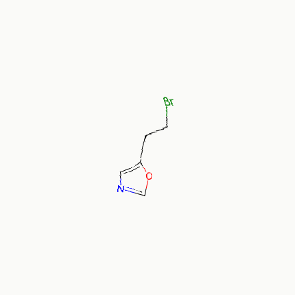 BrCCc1cnco1